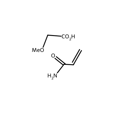 C=CC(N)=O.COCC(=O)O